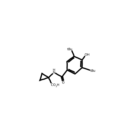 CC(C)(C)c1cc(C(=O)NC2(C(=O)O)CC2)cc(C(C)(C)C)c1O